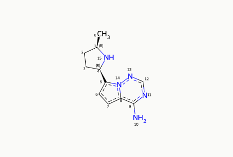 C[C@@H]1CC[C@H](c2ccc3c(N)ncnn23)N1